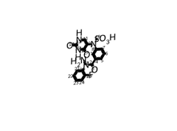 NN(C(=O)c1cccc(N(c2c[nH]c(=O)[nH]c2=O)S(=O)(=O)O)c1)c1ccccc1F